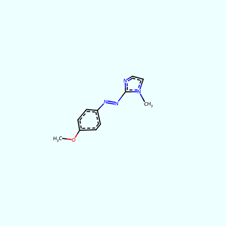 COc1ccc(/N=N/c2nccn2C)cc1